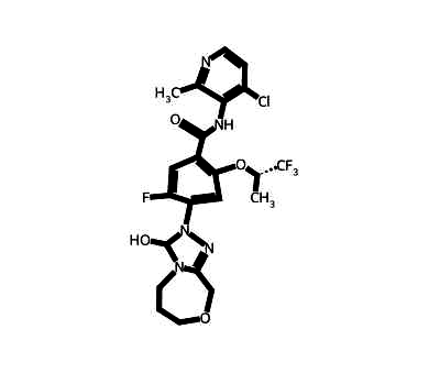 Cc1nccc(Cl)c1NC(=O)c1cc(F)c(N2N=C3COCCCN3C2O)cc1O[C@@H](C)C(F)(F)F